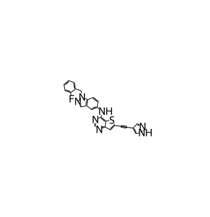 Fc1ccccc1Cn1ncc2cc(Nc3ncnc4cc(C#Cc5cn[nH]c5)sc34)ccc21